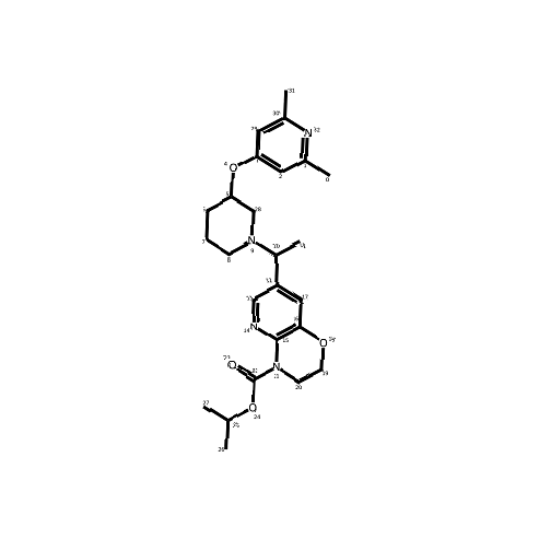 Cc1cc(OC2CCCN(C(C)c3cnc4c(c3)OCCN4C(=O)OC(C)C)C2)cc(C)n1